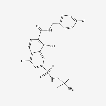 CC(C)(N)CNS(=O)(=O)c1cc(F)c2ncc(C(=O)NCc3ccc(Cl)cc3)c(O)c2c1